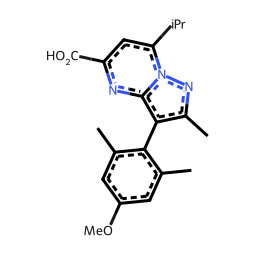 COc1cc(C)c(-c2c(C)nn3c(C(C)C)cc(C(=O)O)nc23)c(C)c1